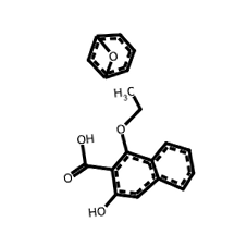 CCOc1c(C(=O)O)c(O)cc2ccccc12.c1cc2cc(c1)O2